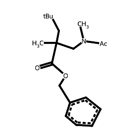 CC(=O)N(C)CC(C)(CC(C)(C)C)C(=O)OCc1ccccc1